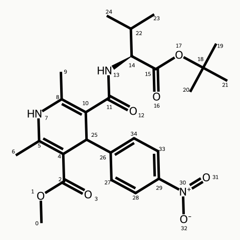 COC(=O)C1=C(C)NC(C)=C(C(=O)N[C@H](C(=O)OC(C)(C)C)C(C)C)C1c1ccc([N+](=O)[O-])cc1